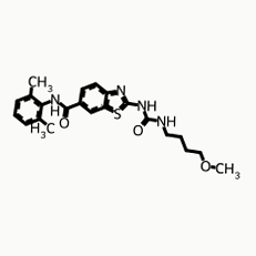 COCCCCNC(=O)Nc1nc2ccc(C(=O)Nc3c(C)cccc3C)cc2s1